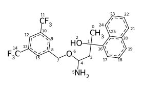 CC(O)(CC(N)OCc1cc(C(F)(F)F)cc(C(F)(F)F)c1)c1cccc2ccccc12